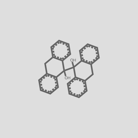 OC1(C2(O)c3ccccc3Cc3ccccc32)c2ccccc2Cc2ccccc21